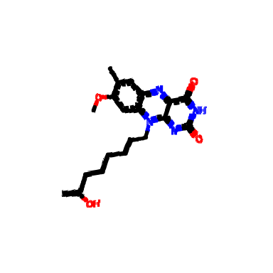 C=C(O)CCCCCCn1c2nc(=O)[nH]c(=O)c-2nc2cc(C)c(OC)cc21